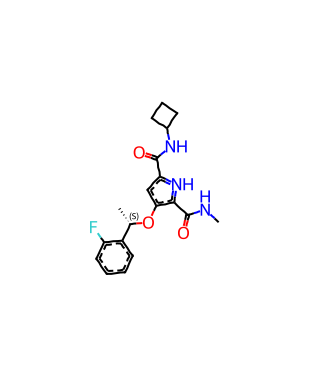 CNC(=O)c1[nH]c(C(=O)NC2CCC2)cc1O[C@@H](C)c1ccccc1F